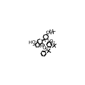 CC(C)(C)[Si](C)(C)OC[C@H]1C[C@@H](O[Si](C)(C)C(C)(C)C)CC[C@@]1(C)[C@H]1CC[C@@]2(C)[C@@H](CC[C@]2(C)O)[C@@H]1CO[Si](c1ccccc1)(c1ccccc1)C(C)(C)C